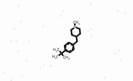 CN1CCC(Cc2ccc(C(C)(C)C)cc2)CC1